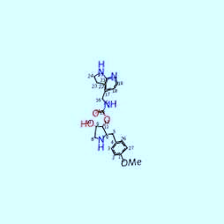 COc1ccc(C[C@H]2NC[C@H](O)[C@H]2OC(=O)NCc2ccnc3c2CCN3)cc1